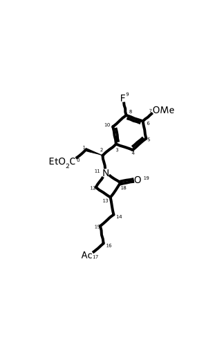 CCOC(=O)C[C@@H](c1ccc(OC)c(F)c1)N1CC(CCCC(C)=O)C1=O